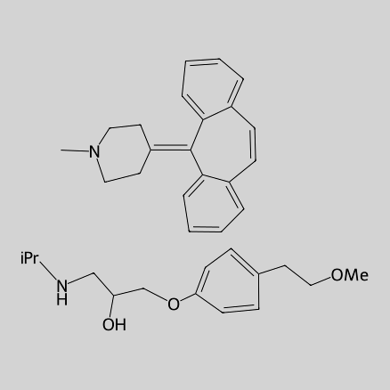 CN1CCC(=C2c3ccccc3C=Cc3ccccc32)CC1.COCCc1ccc(OCC(O)CNC(C)C)cc1